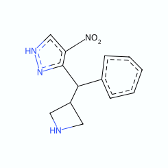 O=[N+]([O-])c1c[nH]nc1C(c1ccccc1)C1CNC1